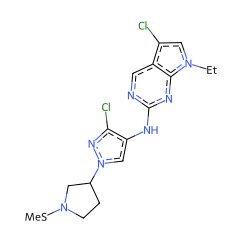 CCn1cc(Cl)c2cnc(Nc3cn(C4CCN(SC)C4)nc3Cl)nc21